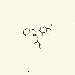 CCOC(=O)CN[C@@H](Cc1ccccc1)C(=O)N[C@@H](C)C(=O)OC